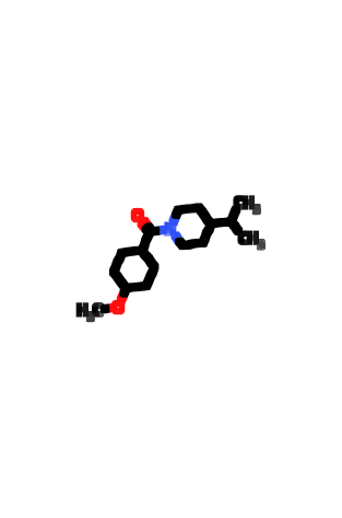 COC1CCC(C(=O)N2CCC(C(C)C)CC2)CC1